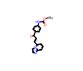 CC(C)(C)OC(=O)Nc1ccc(C(=O)/C=C/c2cccc3nccn23)cc1